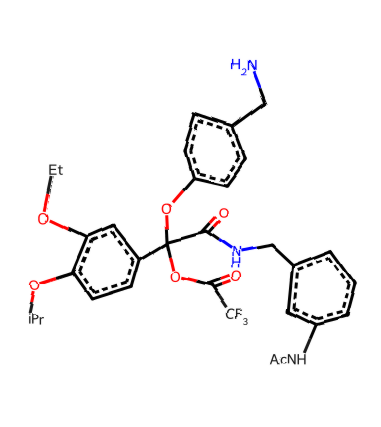 CCOc1cc(C(OC(=O)C(F)(F)F)(Oc2ccc(CN)cc2)C(=O)NCc2cccc(NC(C)=O)c2)ccc1OC(C)C